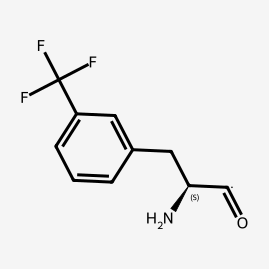 N[C@H]([C]=O)Cc1cccc(C(F)(F)F)c1